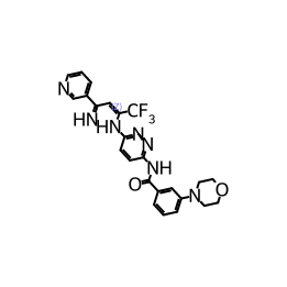 N=C(/C=C(\Nc1ccc(NC(=O)c2cccc(N3CCOCC3)c2)nn1)C(F)(F)F)c1cccnc1